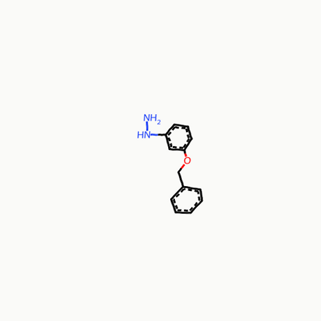 NNc1cccc(OCc2ccccc2)c1